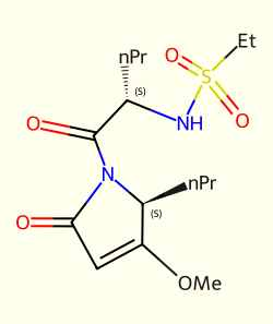 CCC[C@H](NS(=O)(=O)CC)C(=O)N1C(=O)C=C(OC)[C@@H]1CCC